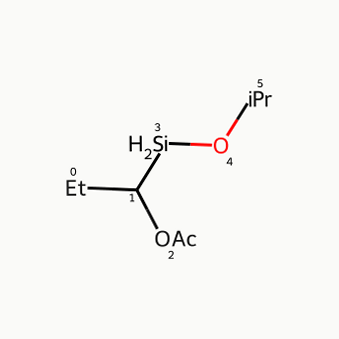 CCC(OC(C)=O)[SiH2]OC(C)C